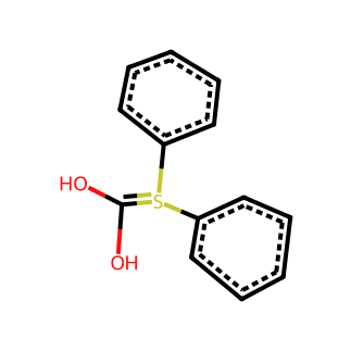 OC(O)=S(c1ccccc1)c1ccccc1